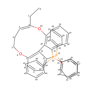 CC/C1=C/CCOc2cccc(P(c3ccccc3)c3ccccc3)c2-c2c(cccc2P(c2ccccc2)c2ccccc2)O1